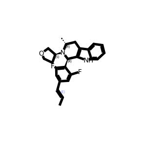 C/C=C/c1cc(F)c([C@@H]2c3[nH]c4ccccc4c3C[C@@H](C)N2[C@H]2CCOC2)c(F)c1